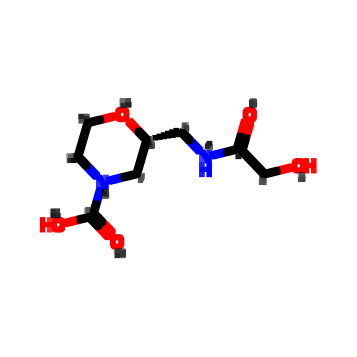 O=C(CO)NC[C@@H]1CN(C(=O)O)CCO1